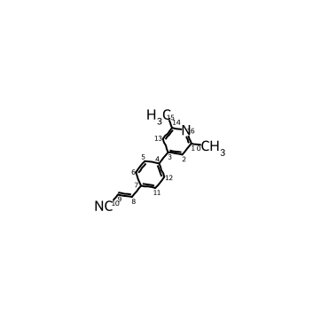 Cc1cc(-c2ccc(/C=C/C#N)cc2)cc(C)n1